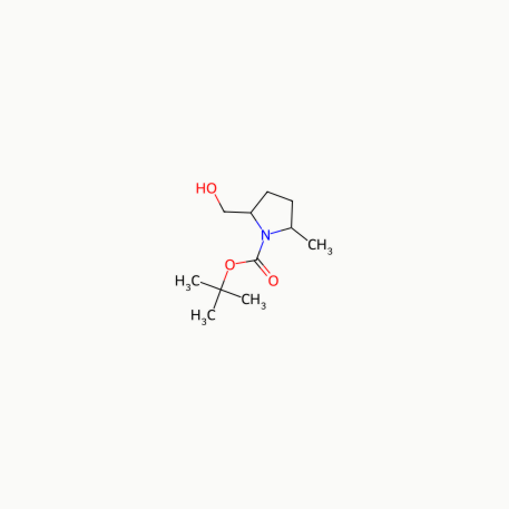 CC1CCC(CO)N1C(=O)OC(C)(C)C